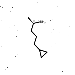 C[C@@H](N)CCCC1CC1